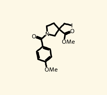 COC(=O)C1(CI)CCN(C(=O)c2ccc(OC)cc2)C1